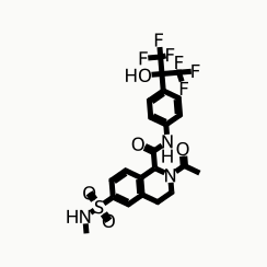 CNS(=O)(=O)c1ccc2c(c1)CCN(C(C)=O)C2C(=O)Nc1ccc(C(O)(C(F)(F)F)C(F)(F)F)cc1